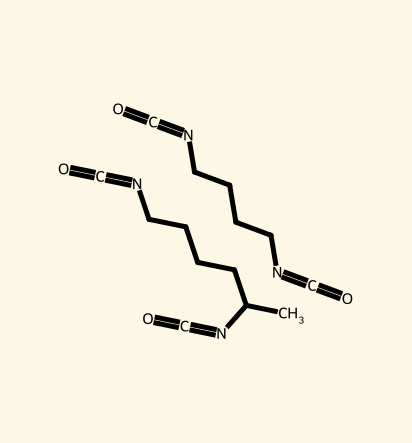 CC(CCCCN=C=O)N=C=O.O=C=NCCCCN=C=O